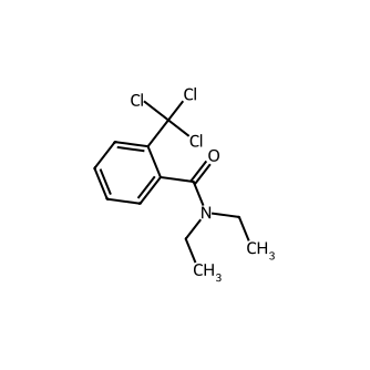 CCN(CC)C(=O)c1ccccc1C(Cl)(Cl)Cl